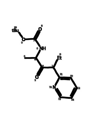 CCC(C(=O)C(C)NC(=O)OC(C)(C)C)c1ccccn1